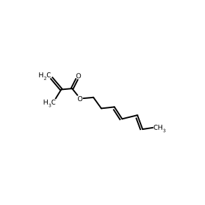 C=C(C)C(=O)OCCC=CC=CC